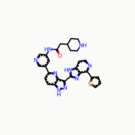 O=C(CC1CCNCC1)Nc1cncc(-c2ccc3[nH]nc(-c4nc5c(-c6cccs6)nccc5[nH]4)c3n2)c1